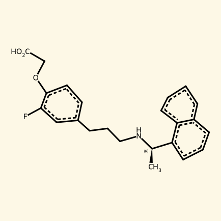 C[C@@H](NCCCc1ccc(OCC(=O)O)c(F)c1)c1cccc2ccccc12